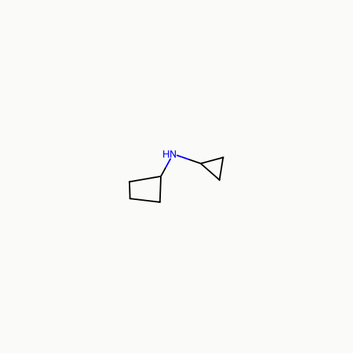 C1CC(NC2CC2)C1